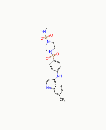 CN(C)S(=O)(=O)N1CCN(S(=O)(=O)c2ccc(Nc3ccnc4cc(C(F)(F)F)ccc34)cc2)CC1